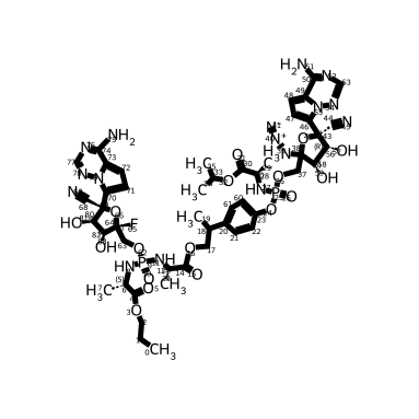 CCCOC(=O)[C@H](C)NP(=O)(N[C@@H](C)C(=O)OCC(C)c1ccc(OP(=O)(N[C@H](C)C(=O)OC(C)C)OCC2(N=[N+]=[N-])O[C@@](C#N)(c3ccc4c(N)ncnn34)[C@H](O)[C@@H]2O)cc1)OC[C@@]1(F)O[C@@](C#N)(c2ccc3c(N)ncnn23)[C@H](O)[C@@H]1O